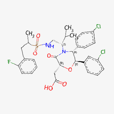 CC(C)[C@@H](CNS(=O)(=O)C(C)Cc1ccccc1F)N1C(=O)[C@@H](CC(=O)O)O[C@H](c2cccc(Cl)c2)[C@H]1c1ccc(Cl)cc1